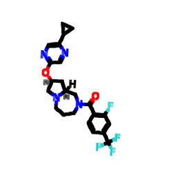 O=C(c1ccc(C(F)(F)F)cc1F)N1CCCN2C[C@@H](Oc3cnc(C4CC4)cn3)C[C@@H]2C1